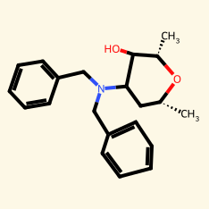 C[C@@H]1CC(N(Cc2ccccc2)Cc2ccccc2)C(O)[C@H](C)O1